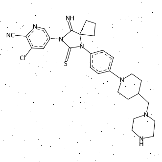 N#Cc1ncc(N2C(=N)C3(CCC3)N(c3ccc(N4CCC(CN5CCNCC5)CC4)cc3)C2=S)cc1Cl